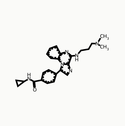 CN(C)CCCNc1nc2ccccc2n2c(-c3ccc(C(=O)NC4CC4)cc3)cnc12